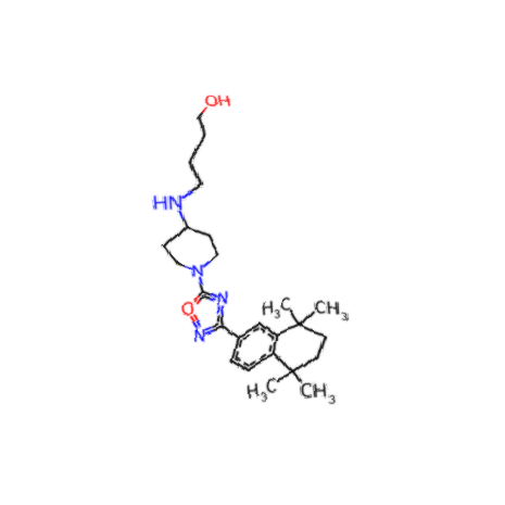 CC1(C)CCC(C)(C)c2cc(-c3noc(N4CCC(NCCCCO)CC4)n3)ccc21